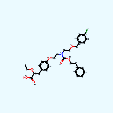 CCOC(Cc1ccc(OCCN(CCOCc2ccc(F)cc2)C(=O)OCCc2ccccc2)cc1)C(=O)O